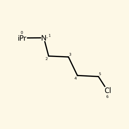 CC(C)[N]CCCCCl